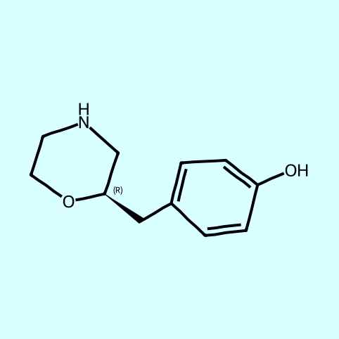 Oc1ccc(C[C@@H]2CNCCO2)cc1